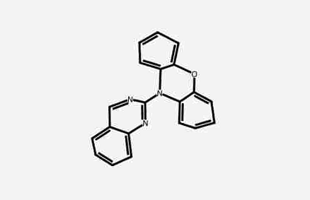 c1ccc2c(c1)Oc1ccccc1N2c1ncc2ccccc2n1